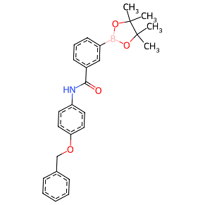 CC1(C)OB(c2cccc(C(=O)Nc3ccc(OCc4ccccc4)cc3)c2)OC1(C)C